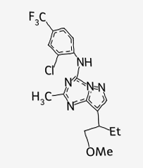 CCC(COC)c1cnn2c(Nc3ccc(C(F)(F)F)cc3Cl)nc(C)nc12